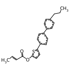 CC=CC(=O)Oc1ccc(-c2ccc(-c3ccc(CCC)cc3)cc2)s1